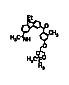 CCn1c2ccc(C(C)=N)cc2c2cc(C(=O)c3ccc(OCC4COC(C)(C)O4)cc3C)ccc21